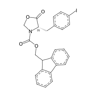 O=C1OCN(C(=O)OCC2c3ccccc3-c3ccccc32)[C@H]1Cc1ccc(I)cc1